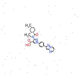 CCN(c1nn(-c2ccc(-c3cc4ncccn4n3)cc2)cc1C(=O)O)C(=O)[C@H]1CC[C@H](C)CC1